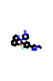 CCn1cc(-c2ccc(C(=O)N(c3nccc4cccc(C)c34)[C@@H]3CCCNC3)c(F)c2)nn1